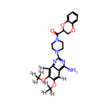 [2H]c1c(OC([2H])([2H])[2H])c(OC([2H])([2H])[2H])c([2H])c2c(N)nc(N3CCN(C(=O)C4COc5ccccc5O4)CC3)nc12